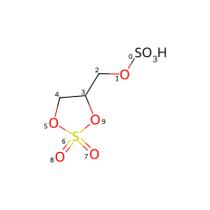 O=S(=O)(O)OCC1COS(=O)(=O)O1